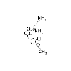 C=CCOc1ccc(CC(=O)OC(=O)[C@@H](N)CCCCN)cc1Cl